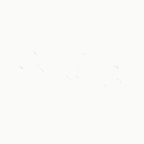 C=C/C(C#N)=N\OCCN(C)C(=O)c1ccc(F)cc1[C@@H](C)Oc1cc(Br)cnc1N